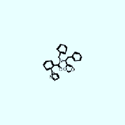 O=C(c1ccccc1-n1cccn1)N(Cc1ccccc1)C(Cc1ccccc1)C1=COCO1